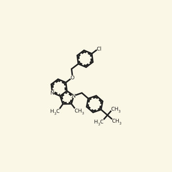 Cc1c(C)n(Cc2ccc(C(C)(C)C)cc2)c2c(OCc3ccc(Cl)cc3)ccnc12